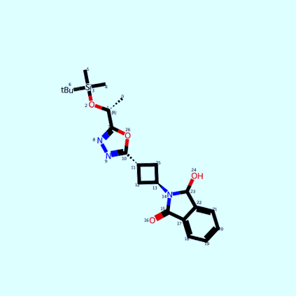 C[C@@H](O[Si](C)(C)C(C)(C)C)c1nnc([C@H]2C[C@H](N3C(=O)c4ccccc4C3O)C2)o1